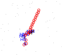 CC[C@H](C)[C@@H]([C@@H](CC(=O)N1CCC[C@H]1[C@H](OC)[C@@H](C)C(=O)N[C@@H](Cc1ccccc1)C(=O)Nc1ccc(CNC(=O)CCCCCN2C(=O)C=CC2=O)cc1)OC)N(C)C(=O)[C@@H](NC(=O)[C@@H]1[C@H]2CC[C@@H](C2)N1C(=O)CCOCCOCCOCCOCCOCCOCCOCCOCCOCCOCCOCCOC)C(C)C